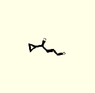 O=CC=CC(=O)C1CC1